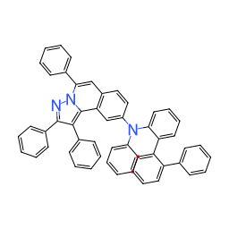 c1ccc(-c2ccccc2-c2ccccc2N(c2ccccc2)c2ccc3cc(-c4ccccc4)n4nc(-c5ccccc5)c(-c5ccccc5)c4c3c2)cc1